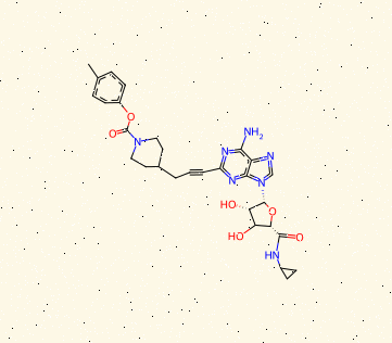 Cc1ccc(OC(=O)N2CCC(CC#Cc3nc(N)c4ncn([C@@H]5O[C@H](C(=O)NC6CC6)C(O)[C@@H]5O)c4n3)CC2)cc1